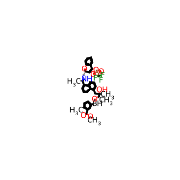 COC(=O)c1cc(BOC(C)C(C)(O)Cc2cccc3c([C@@H](C)NC[C@H]4C=C(OS(=O)(=O)C(F)(F)F)c5ccccc5O4)cccc23)ccc1C